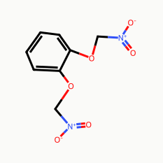 O=[N+]([O-])COc1ccccc1OC[N+](=O)[O-]